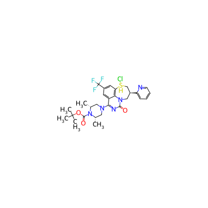 C[C@@H]1CN(c2nc(=O)n3c4c(cc(C(F)(F)F)cc24)[SH](Cl)C[C@@H](c2ccccn2)C3)C[C@H](C)N1C(=O)OC(C)(C)C